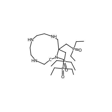 CCP(=O)(CC)CN1CCNCCNCCNCC1(CP(=O)(CC)CC)CP(=O)(CC)CC